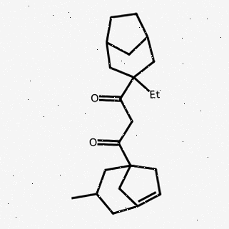 CCC1(C(=O)CC(=O)C23CC=C(CC(C)C2)C3)CC2CCC(C2)C1